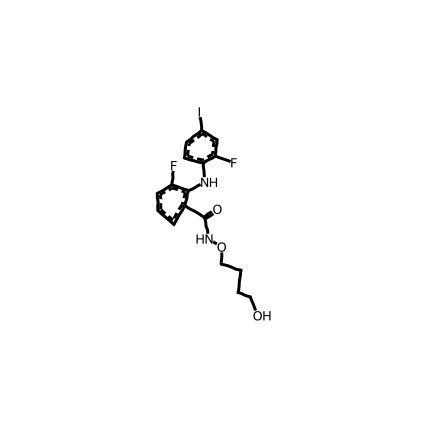 O=C(NOCCCCO)c1cccc(F)c1Nc1ccc(I)cc1F